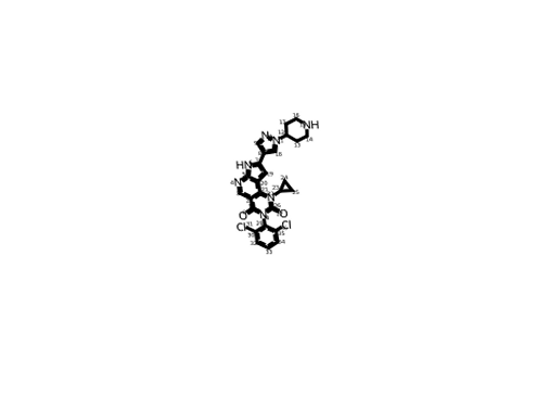 O=c1c2cnc3[nH]c(-c4cnn(C5CCNCC5)c4)cc3c2n(C2CC2)c(=O)n1-c1c(Cl)cccc1Cl